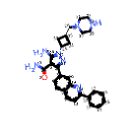 NC(=O)c1c(-c2ccc3ccc(-c4ccccc4)nc3c2)nn([C@H]2C[C@@H](CN3CCNCC3)C2)c1N